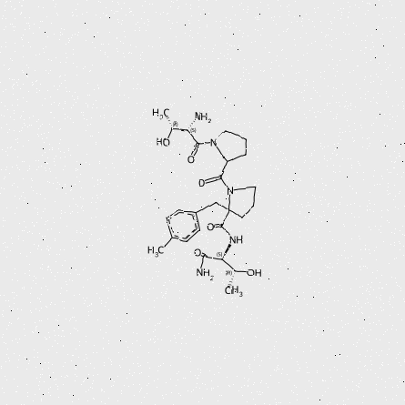 Cc1ccc(CC2(C(=O)N[C@H](C(N)=O)[C@@H](C)O)CCCN2C(=O)C2CCCN2C(=O)[C@@H](N)[C@@H](C)O)cc1